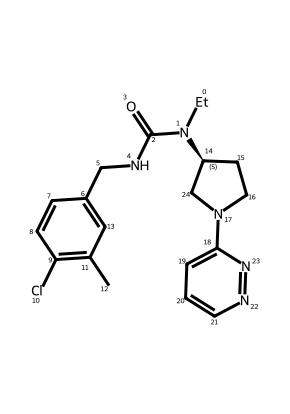 CCN(C(=O)NCc1ccc(Cl)c(C)c1)[C@H]1CCN(c2cccnn2)C1